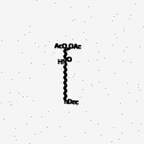 CCCCCCCCCCCCCCCCCCCCCCCCNC(=O)CCC[C@@H](COC(C)=O)OC(C)=O